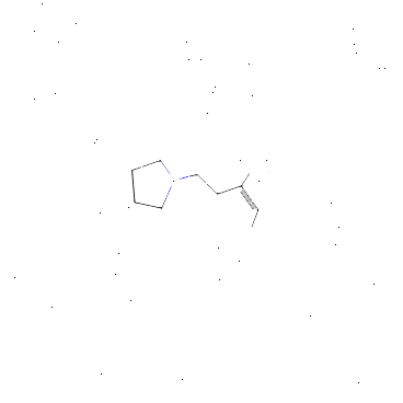 C/C(=C/C(=O)O)CCN1CCCC1